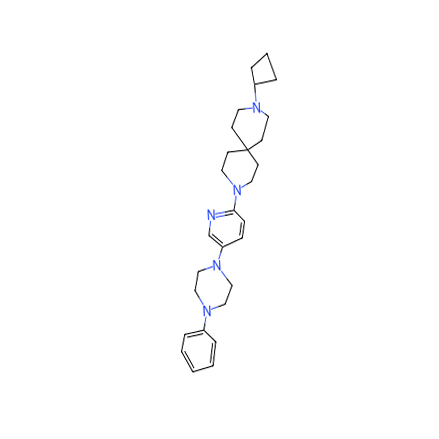 c1ccc(N2CCN(c3ccc(N4CCC5(CC4)CCN(C4CCC4)CC5)nc3)CC2)cc1